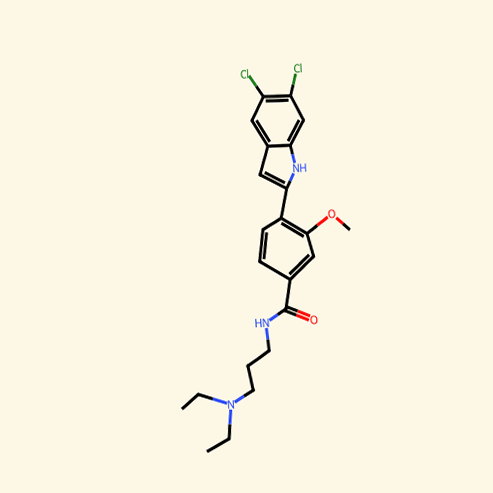 CCN(CC)CCCNC(=O)c1ccc(-c2cc3cc(Cl)c(Cl)cc3[nH]2)c(OC)c1